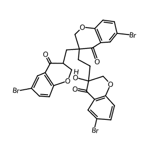 O=C1c2cc(Br)ccc2OCC1CC1(CCC2(O)COc3ccc(Br)cc3C2=O)COc2ccc(Br)cc2C1=O